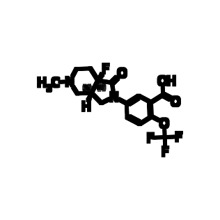 CN1CC[C@]2(F)C(=O)N(c3ccc(OC(F)(F)F)c(C(=O)O)c3)C[C@@H]2C1